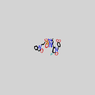 Cc1cc(-c2cc(F)c(=O)n(Cc3ccc4c(c3)OCO4)c2)nc(S(=O)(=O)CCCN2C(=O)Cc3ccccc32)n1